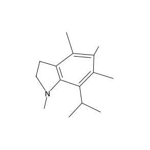 Cc1c(C)c2c(c(C(C)C)c1C)N(C)CC2